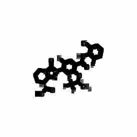 C[C@H](Oc1cc(-n2nc3n(c2=O)CCC[C@H]3C(=O)O)c(F)cc1C(=O)Nc1c(F)cccc1Cl)C(F)(F)F